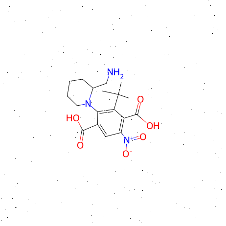 CC(C)(C)c1c(C(=O)O)c([N+](=O)[O-])cc(C(=O)O)c1N1CCCCC1CN